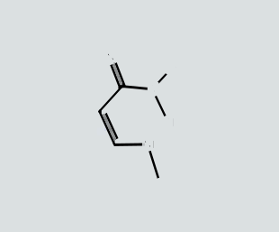 CN/C=C\C(=N)[S+]([O-])Cl